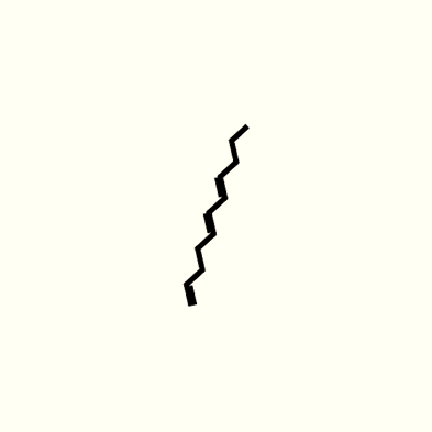 C=CCCC=CC=CCCC